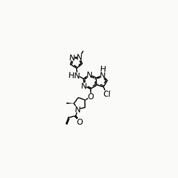 C=CC(=O)N1C[C@H](Oc2nc(Nc3cnn(C)c3)nc3[nH]cc(Cl)c23)C[C@@H]1C